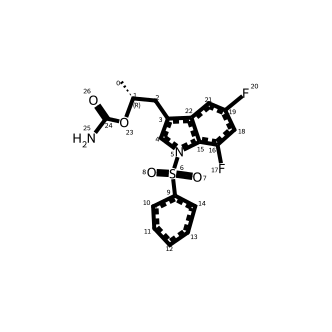 C[C@H](Cc1cn(S(=O)(=O)c2ccccc2)c2c(F)cc(F)cc12)OC(N)=O